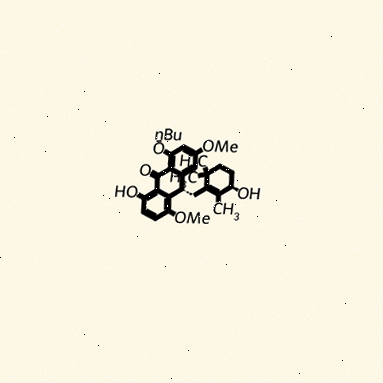 CCCCOc1cc(OC)cc2c1C(=O)c1c(O)ccc(OC)c1[C@H]2CC1=C(C)[C@H](O)CCC1(C)C